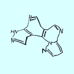 c1cc2ncc3cnc4[nH]ncc4c3n2n1